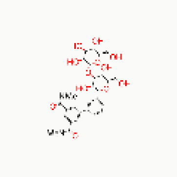 CNC(=O)c1cc(C(=O)NC)cc(-c2cccc([C@H]3O[C@H](CO)[C@@H](O)[C@H](O[C@H]4O[C@H](CO)[C@@H](O)[C@H](O)[C@@H]4O)[C@@H]3O)c2)c1